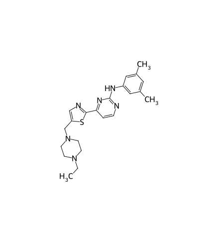 CCN1CCN(Cc2cnc(-c3ccnc(Nc4cc(C)cc(C)c4)n3)s2)CC1